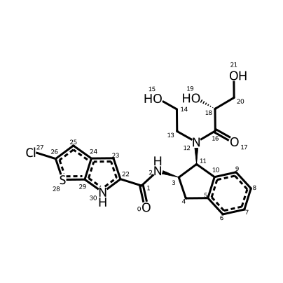 O=C(N[C@@H]1Cc2ccccc2[C@@H]1N(CCO)C(=O)[C@H](O)CO)c1cc2cc(Cl)sc2[nH]1